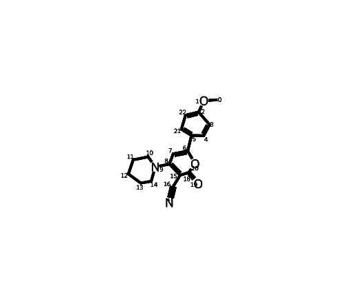 COc1ccc(-c2cc(N3CCCCC3)c(C#N)c(=O)o2)cc1